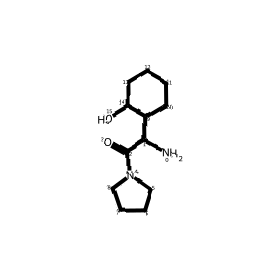 NC(C(=O)N1CCCC1)C1CCCCC1O